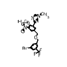 COc1c(-c2ncn(C)n2)cc(COCc2cc(Br)cc(C(F)(F)F)c2)cc1[N+](=O)[O-]